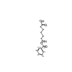 O=C(O)CCCCCNOC(=O)c1ccccc1